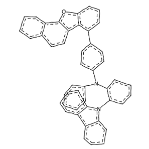 c1ccc(N(c2ccc(-c3cccc4oc5c6ccccc6ccc5c34)cc2)c2ccccc2-n2c3ccccc3c3ccccc32)cc1